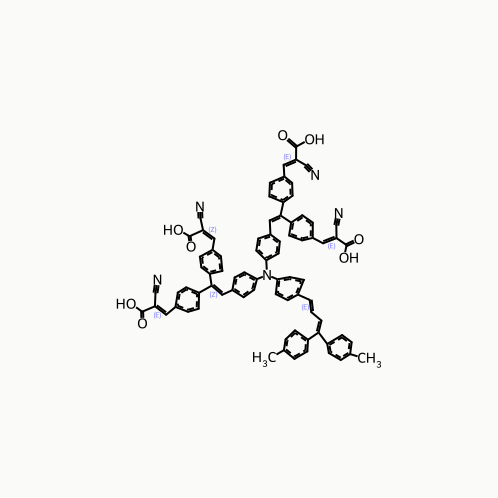 Cc1ccc(C(=C/C=C/c2ccc(N(c3ccc(C=C(c4ccc(/C=C(\C#N)C(=O)O)cc4)c4ccc(/C=C(\C#N)C(=O)O)cc4)cc3)c3ccc(/C=C(\c4ccc(/C=C(/C#N)C(=O)O)cc4)c4ccc(/C=C(\C#N)C(=O)O)cc4)cc3)cc2)c2ccc(C)cc2)cc1